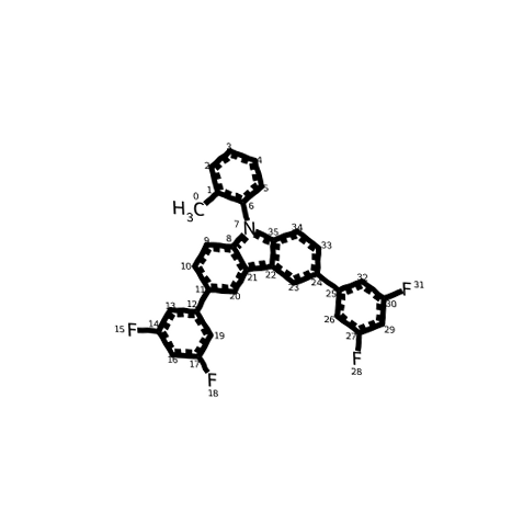 Cc1ccccc1-n1c2ccc(-c3cc(F)cc(F)c3)cc2c2cc(-c3cc(F)cc(F)c3)ccc21